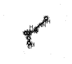 Clc1ccc(N2CCN(c3nc(NCc4cn(CCCNCCCNC5CCCCC5)nn4)nc4ccccc34)CC2)cc1Cl